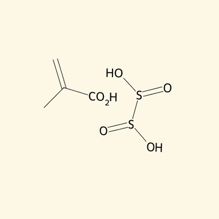 C=C(C)C(=O)O.O=S(O)S(=O)O